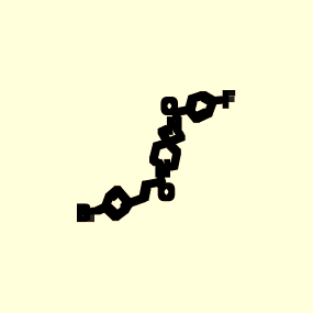 O=C(/C=C/c1ccc(Br)cc1)N1CCC2(CC1)CN(C(=O)c1ccc(F)cc1)C2